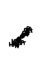 CCN(CC)C(=O)C1CCCN(CC(=O)N2CCC(c3ccc4[nH]c(-c5ccnc6[nH]ncc56)c(C(C)C)c4c3)CC2)C1